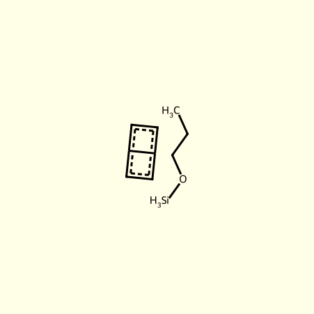 CCCO[SiH3].c1cc2ccc1-2